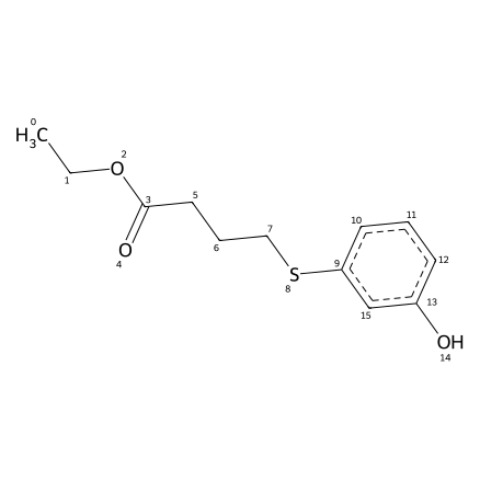 CCOC(=O)CCCSc1cccc(O)c1